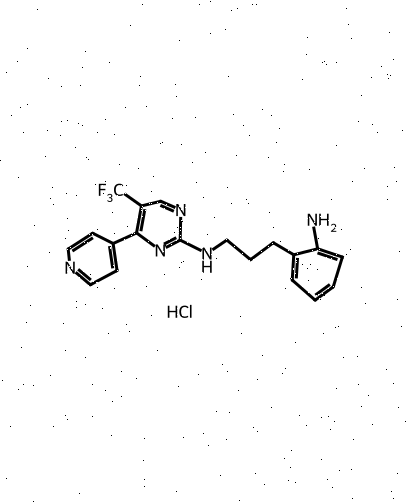 Cl.Nc1ccccc1CCCNc1ncc(C(F)(F)F)c(-c2ccncc2)n1